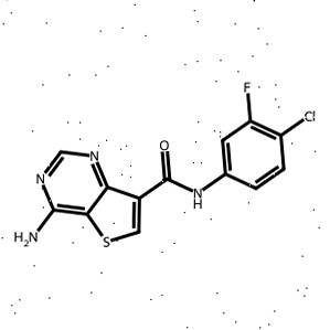 Nc1ncnc2c(C(=O)Nc3ccc(Cl)c(F)c3)csc12